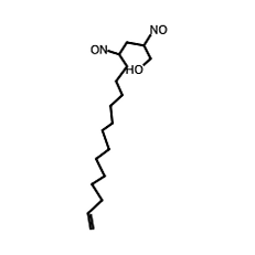 C=CCCCCCCCCCCCC(CC(CO)N=O)N=O